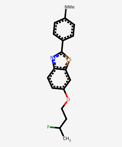 CNc1ccc(-c2nc3ccc(OCCC(C)F)cc3s2)cc1